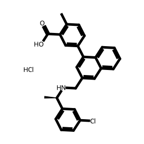 Cc1ccc(-c2cc(CN[C@H](C)c3cccc(Cl)c3)cc3ccccc23)cc1C(=O)O.Cl